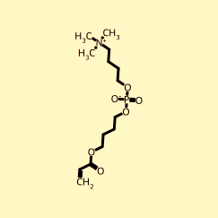 C=CC(=O)OCCCCOP(=O)([O-])OCCCC[N+](C)(C)C